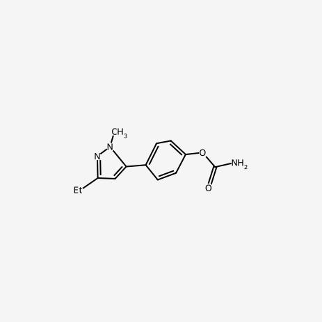 CCc1cc(-c2ccc(OC(N)=O)cc2)n(C)n1